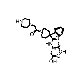 O=C(O)C[C@H](NC(=O)C1(c2ccccc2)CCN(C(=O)CN2CCNCC2)CC1)C(=O)O